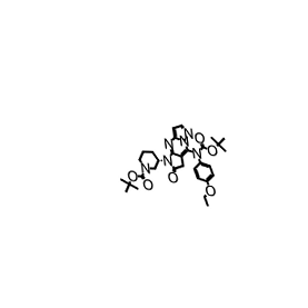 CCOc1ccc(N(C(=O)OC(C)(C)C)c2c3c(nc4ccnn24)N([C@H]2CCCN(C(=O)OC(C)(C)C)C2)C(=O)C3)cc1